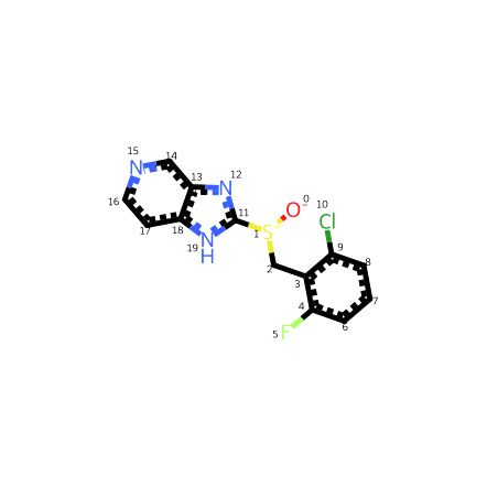 [O-][S+](Cc1c(F)cccc1Cl)c1nc2cnccc2[nH]1